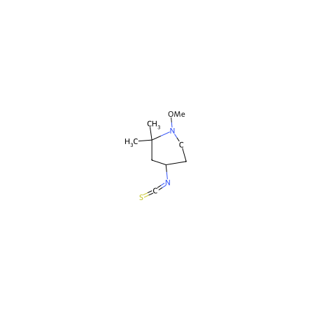 CON1CCC(N=C=S)CC1(C)C